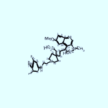 COc1ccc2ncc(N(C)C)c([C@H](O)CCC3(CC(=O)O)CCN(CCNc4cc(F)c(F)c(F)c4)CC3)c2c1